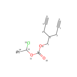 C#CCC(CC#C)COC(=O)OC(Cl)C(C)C